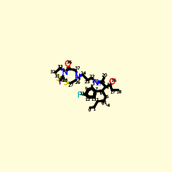 CCC[C@@H](C)CC(c1ccc(F)cc1)C(C(=O)CC)/C(C)=N/CCCN1CCSC2(I)SCCN2C(=O)C1